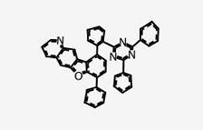 c1ccc(-c2nc(-c3ccccc3)nc(-c3ccccc3-c3ccc(-c4ccccc4)c4oc5cc6cccnc6cc5c34)n2)cc1